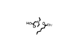 CCCCCC(=O)O.CCN(CC)CC(=O)O